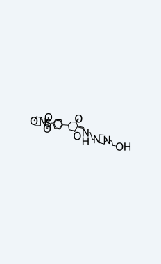 O=C1CC(c2ccc(S(=O)(=O)N3CCOCC3)cc2)CC(=O)C1=CNCCN1CCN(CCO)CC1